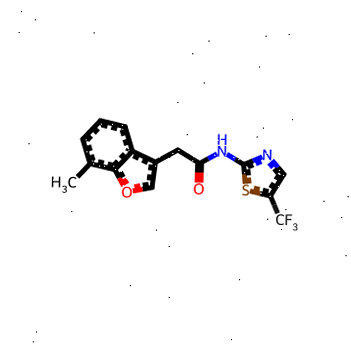 Cc1cccc2c(CC(=O)Nc3ncc(C(F)(F)F)s3)coc12